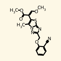 CO/C=C(/C(=O)OC)c1sc2nc(COc3ccccc3C#N)nn2c1C